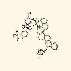 Cc1ccc(S(=O)(=O)N2CCNC(=O)[C@@H]2CC(=O)Nc2c([C@@H]3CCCc4c3ccc3c4cc(CNCC(C)C)c4ccccc43)ccc3ccccc23)cc1C(F)(F)F